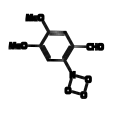 COc1cc(C=O)c(N2OOO2)cc1OC